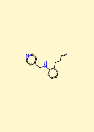 C=CCCc1ccccc1NCc1ccncc1